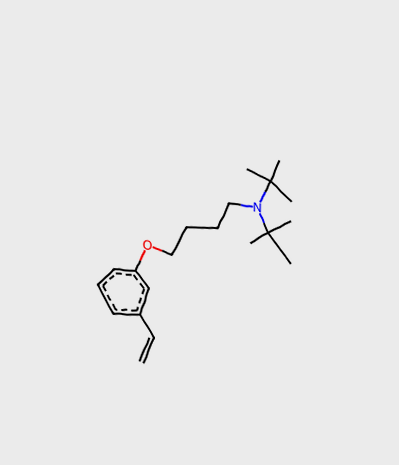 C=Cc1cccc(OCCCCN(C(C)(C)C)C(C)(C)C)c1